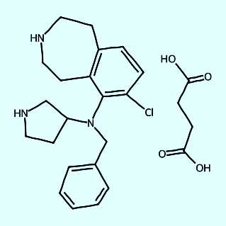 Clc1ccc2c(c1N(Cc1ccccc1)C1CCNC1)CCNCC2.O=C(O)CCC(=O)O